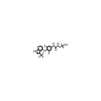 CC(C)(O)CNC(=O)Nc1cc(F)c(Oc2ccnc3[nH]cc(C(F)(F)F)c23)c(F)c1